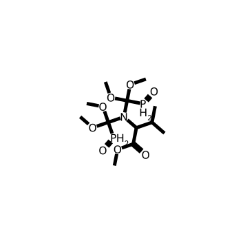 COC(=O)C(C(C)C)N(C(OC)(OC)[PH2]=O)C(OC)(OC)[PH2]=O